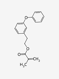 C=C(C)C(=O)OCCc1cccc(Oc2ccccc2)c1